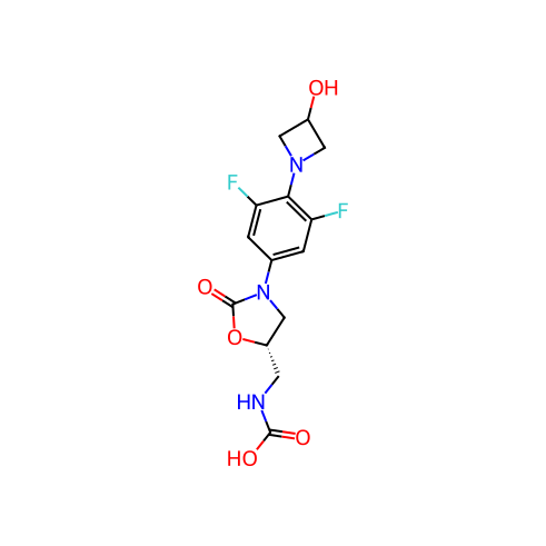 O=C(O)NC[C@H]1CN(c2cc(F)c(N3CC(O)C3)c(F)c2)C(=O)O1